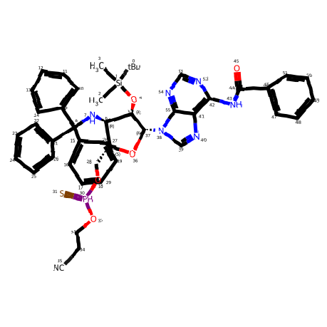 CC(C)(C)[Si](C)(C)O[C@@H]1[C@H](NC(c2ccccc2)(c2ccccc2)c2ccccc2)[C@@H](CO[PH](=S)OCCC#N)O[C@H]1n1cnc2c(NC(=O)c3ccccc3)ncnc21